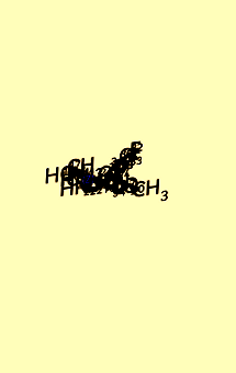 CCOc1ccc2cc(C3=C/C(=C/NCC(C)(C)O)C(=N)C=C3)c(=O)n(-c3ccc(OC(F)F)cc3)c2n1